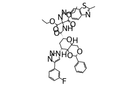 CCOC(=O)C(/N=N\c1ccc2nc(C)sc2c1)(NC(=O)[C@H]1C[C@@H](n2cc(-c3cccc(F)c3)nn2)[C@H]2OC(c3ccccc3)OC[C@H]2O1)C(=O)OCC